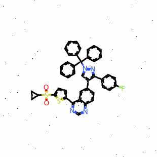 O=S(=O)(c1ccc(-c2ncnc3ccc(-c4cn(C(c5ccccc5)(c5ccccc5)c5ccccc5)nc4-c4ccc(F)cc4)cc23)s1)C1CC1